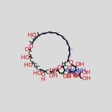 C[C@@H]1[C@H](O)[C@@H](C)/C=C/C=C/C=C/C=C/C=C/C=C/C=C/[C@H](O[C@@H]2O[C@H](C)[C@@H](O)[C@H](N)[C@@H]2O)C[C@@H]2O[C@](O)(C[C@@H](O)C[C@@H](O)[C@H](O)CC[C@@H](O)C[C@@H](O)CC(=O)O[C@H]1C)C[C@H](O)[C@H]2NC(=O)NOC(CO)CO